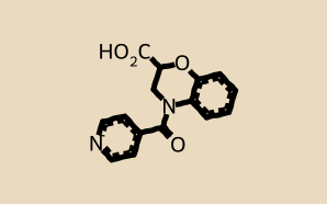 O=C(O)C1CN(C(=O)c2ccncc2)c2ccccc2O1